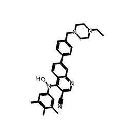 CCN1CCN(Cc2ccc(-c3ccc4c(N(O)c5cc(C)c(C)c(C)c5)c(C#N)cnc4c3)cc2)CC1